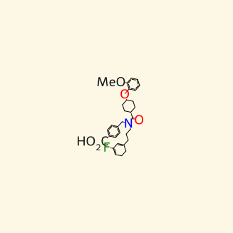 COc1ccccc1O[C@H]1CC[C@H](C(=O)N(CCCC2=CC(F)=CCC2)Cc2ccc(C(=O)O)cc2)CC1